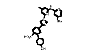 Cc1cc(Nc2cc(C(C)(C)C)ccn2)nc(-n2cnc(-c3ccc(C(=O)O)c(C4CCC(O)CC4)c3)c2)c1